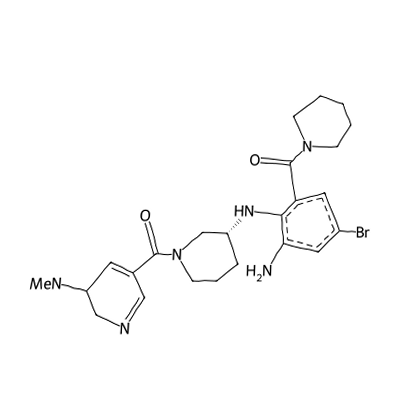 CNC1C=C(C(=O)N2CCC[C@@H](Nc3c(N)cc(Br)cc3C(=O)N3CCCCC3)C2)C=NC1